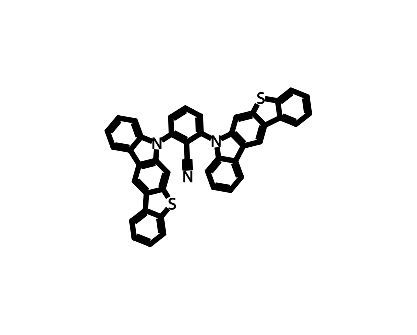 N#Cc1c(-n2c3ccccc3c3cc4c(cc32)sc2ccccc24)cccc1-n1c2ccccc2c2cc3c(cc21)sc1ccccc13